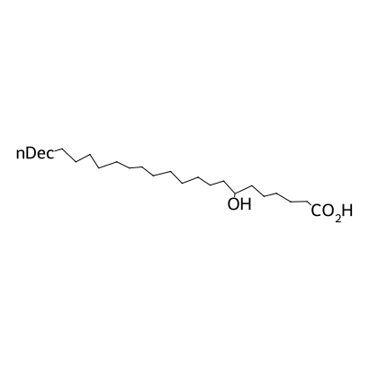 CCCCCCCCCCCCCCCCCCCCCCCC(O)CCCCCC(=O)O